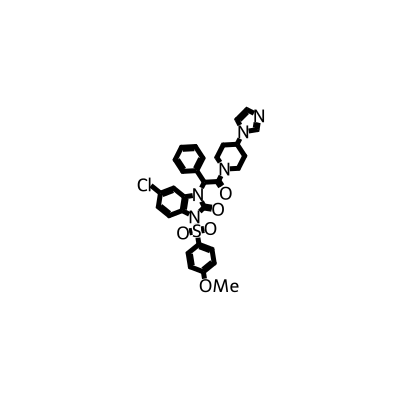 COc1ccc(S(=O)(=O)n2c(=O)n(C(C(=O)N3CCC(n4ccnc4)CC3)c3ccccc3)c3cc(Cl)ccc32)cc1